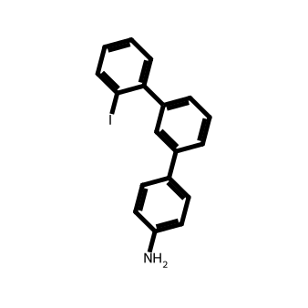 Nc1ccc(-c2cccc(-c3ccccc3I)c2)cc1